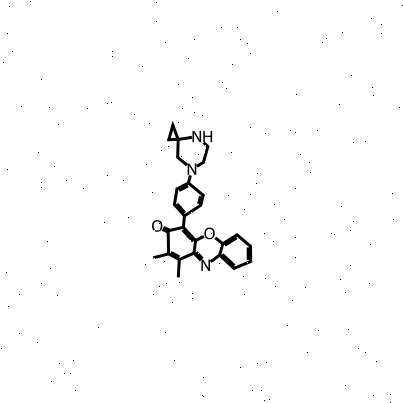 Cc1c2nc3ccccc3oc-2c(-c2ccc(N3CCNC4(CC4)C3)cc2)c(=O)c1C